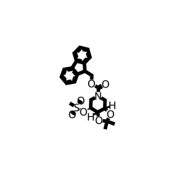 CC1(C)O[C@H]2[C@H](CN(C(=O)OCC3c4ccccc4-c4ccccc43)C[C@H]2OS(C)(=O)=O)O1